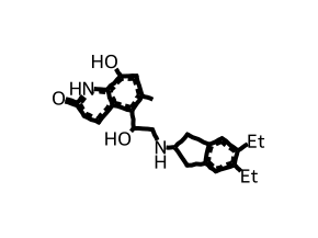 CCc1cc2c(cc1CC)CC(NCC(O)c1c(C)cc(O)c3[nH]c(=O)ccc13)C2